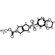 COC(=O)N1CC2=C(C1)CN(S(=O)(=O)c1cnc3c(c1)OCCO3)C2